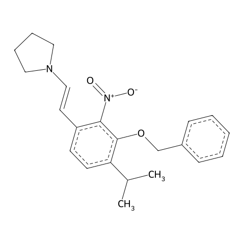 CC(C)c1ccc(C=CN2CCCC2)c([N+](=O)[O-])c1OCc1ccccc1